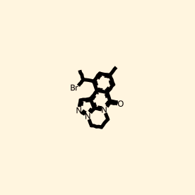 Cc1cc(C(C)Br)c2c(c1)c(=O)n1c3c2cnn3CCC1